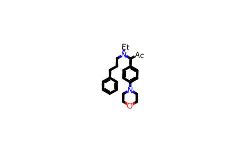 CCN(CCCc1ccccc1)C(C(C)=O)c1ccc(N2CCOCC2)cc1